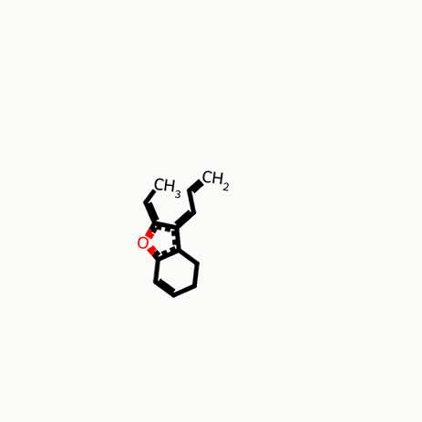 C=C/C=c1/c2c(o/c1=C/C)C=CCC2